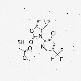 COC(=O)CS.O=c1oc2cc3cc-3c2n1-c1ncc(C(F)(F)F)cc1Cl